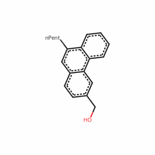 CCCCCc1cc2ccc(CO)cc2c2ccccc12